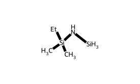 CC[Si](C)(C)N[SiH3]